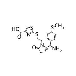 CSc1ccc(C(N)[C@H]2CCC(=O)N2CCSc2nc(C(=O)O)cs2)cc1